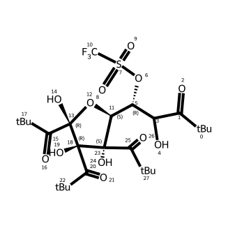 CC(C)(C)C(=O)C(O)[C@@H](OS(=O)(=O)C(F)(F)F)[C@@H]1O[C@@](O)(C(=O)C(C)(C)C)[C@@](O)(C(=O)C(C)(C)C)[C@]1(O)C(=O)C(C)(C)C